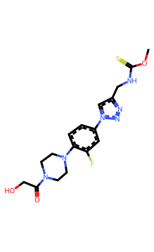 COC(=S)NCc1cn(-c2ccc(N3CCN(C(=O)CO)CC3)c(F)c2)nn1